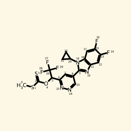 CSC(=S)OC(c1cc(-c2nc3cc(F)c(F)cc3n2C2CC2)cnn1)C(F)(F)F